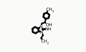 C=CCn1c(=N)n(CC(O)c2ccc(C)cc2)c2ccccc21